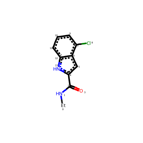 CCNC(=O)c1cc2c(Cl)cccc2[nH]1